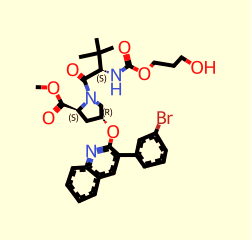 COC(=O)[C@@H]1C[C@@H](Oc2nc3ccccc3cc2-c2cccc(Br)c2)CN1C(=O)[C@@H](NC(=O)OCCCO)C(C)(C)C